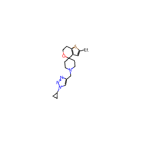 CCc1cc2c(s1)CCOC21CCN(Cc2cn(C3CC3)nn2)CC1